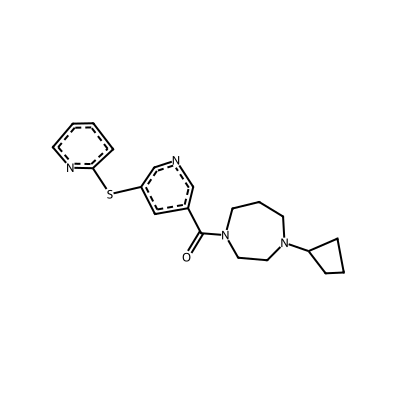 O=C(c1cncc(Sc2ccccn2)c1)N1CCCN(C2CCC2)CC1